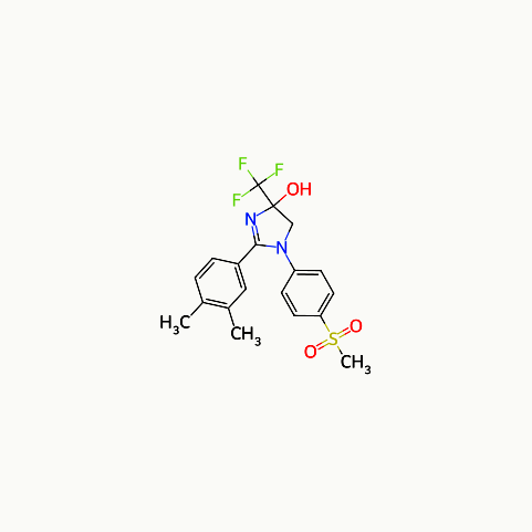 Cc1ccc(C2=NC(O)(C(F)(F)F)CN2c2ccc(S(C)(=O)=O)cc2)cc1C